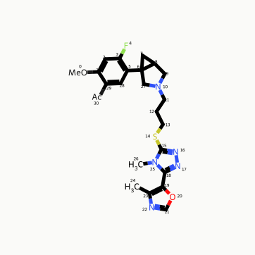 COc1cc(F)c(C23CC2CN(CCCSc2nnc(-c4ocnc4C)n2C)C3)cc1C(C)=O